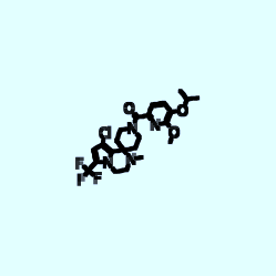 COc1nc(C(=O)N2CCC3(CC2)c2c(Cl)cc(C(F)(F)F)n2CCN3C)ccc1OC(C)C